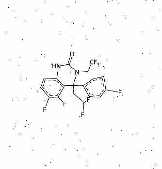 O=C1Nc2ccc(F)c(F)c2C(CC(F)F)(c2ccc(F)cc2)N1CC(F)(F)F